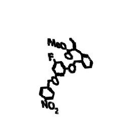 CC=C(C(=O)OC)c1ccccc1COc1cc(F)cc(OCc2ccc([N+](=O)[O-])cc2)c1